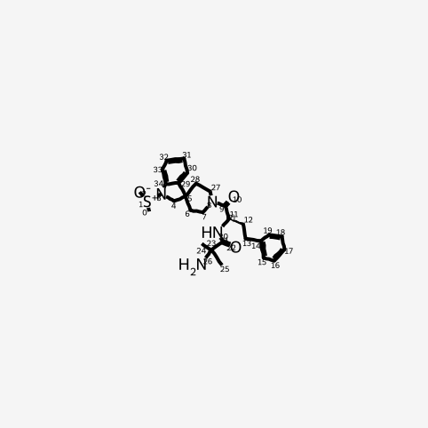 C[S+]([O-])N1CC2(CCN(C(=O)[C@@H](CCc3ccccc3)NC(=O)C(C)(C)N)CC2)c2ccccc21